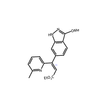 CCOC(=O)/C=C(/c1ccc2c(OC)n[nH]c2c1)c1cccc(C)n1